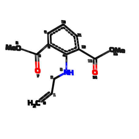 C=CCNc1c(C(=O)OC)cccc1C(=O)OC